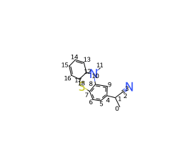 CC(C#N)c1ccc2c(c1)N(C)C1C=CC=CC1S2